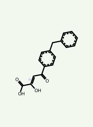 O=C(O)/C(O)=C/C(=O)c1ccc(Cc2ccccc2)cc1